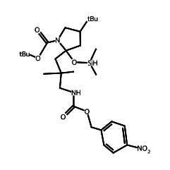 C[SiH](C)OC1(CC(C)(C)CNC(=O)OCc2ccc([N+](=O)[O-])cc2)CC(C(C)(C)C)CN1C(=O)OC(C)(C)C